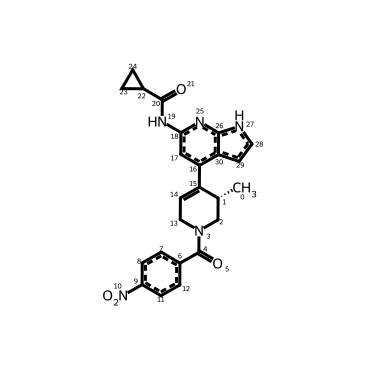 C[C@@H]1CN(C(=O)c2ccc([N+](=O)[O-])cc2)CC=C1c1cc(NC(=O)C2CC2)nc2[nH]ccc12